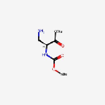 CCCCOC(=O)N[C@@H](CN)C(=O)OC